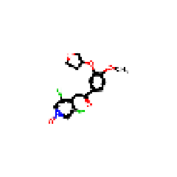 COc1ccc(C(=O)Cc2c(Cl)c[n+]([O-])cc2Cl)cc1OC1CCOC1